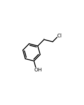 Oc1cccc([CH]CCl)c1